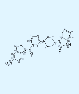 O=C(c1cc(N2CCC(n3c(=O)[nH]c4ncccc43)CC2)ncn1)N1CCc2cc([N+](=O)[O-])ccc21